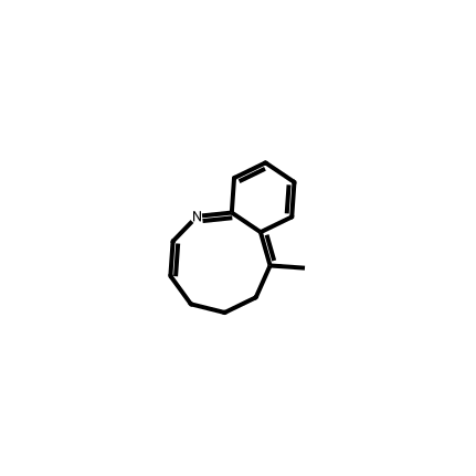 C\C1=c2/cccc/c2=N/C=C\CCC1